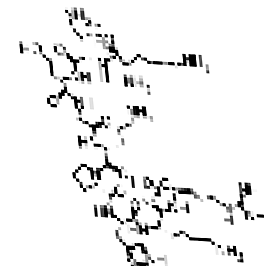 C[C@@H](CN)[C@H](NC(=O)[C@@H](N)CCCCN)C(=O)N[C@@H](CCO)C(=O)NCC(=O)N[C@H](CCCN)C(=O)N1CCC[C@H]1C(=O)N[C@@H](Cc1c[nH]cn1)C(=O)N[C@@H](CCCCN)C(=O)N/C(=C\CCNC(=N)N)C(=O)O